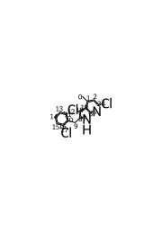 Cc1cc(Cl)nc2[nH]c(Cc3c(Cl)[c]ccc3Cl)cc12